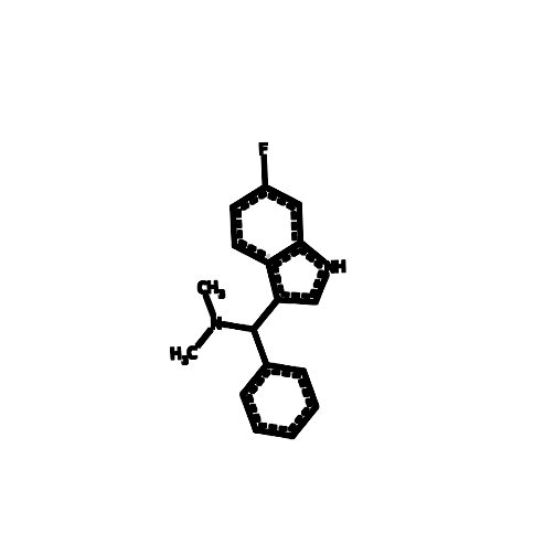 CN(C)C(c1ccccc1)c1c[nH]c2cc(F)ccc12